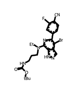 CCN(CCCNC(=O)OC(C)(C)C)c1nc(-c2ccc(C#N)c(F)c2)c(Br)c2cn[nH]c12